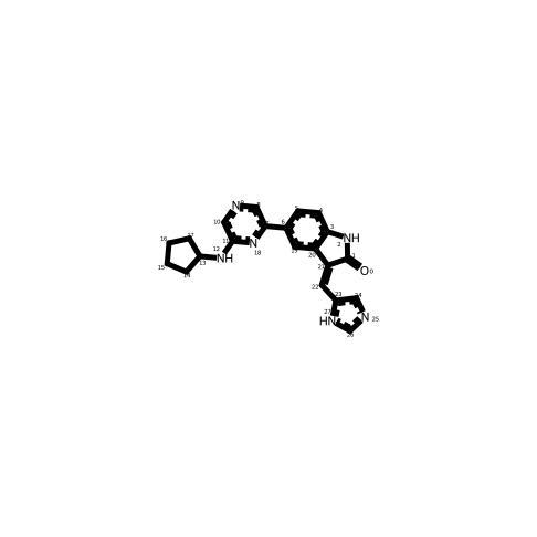 O=C1Nc2ccc(-c3cncc(NC4CCCC4)n3)cc2/C1=C/c1cnc[nH]1